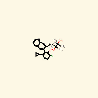 Cc1cc2ccccc2cc1-c1c(C2CC2)ccc(Cl)c1BOC(C)(C)C(C)(C)O